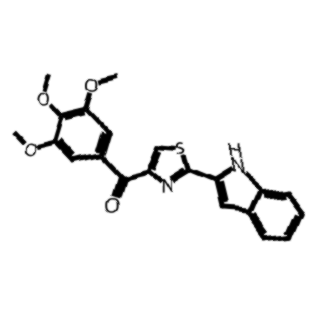 COc1cc(C(=O)c2csc(-c3cc4ccccc4[nH]3)n2)cc(OC)c1OC